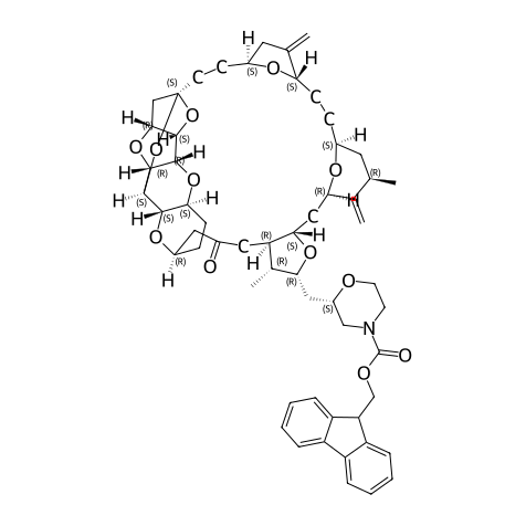 C=C1C[C@@H]2CC[C@@]34C[C@H]5O[C@H]6[C@@H](O3)[C@H]3O[C@H](CC[C@@H]3O[C@H]6[C@H]5O4)CC(=O)C[C@@H]3[C@@H](C)[C@@H](C[C@H]4CN(C(=O)OCC5c6ccccc6-c6ccccc65)CCO4)O[C@H]3C[C@H]3O[C@@H](CC[C@@H]1O2)C[C@@H](C)C3=C